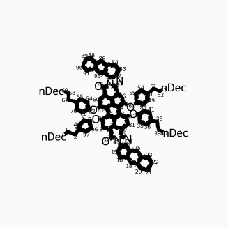 CCCCCCCCCCCCc1ccc(Oc2cc3c(=O)n4c5ccc6cc7ccccc7cc6c5nc4c4cc(Oc5ccc(CCCCCCCCCCCC)cc5)c5c6c(Oc7ccc(CCCCCCCCCCCC)cc7)cc7c8c(cc(Oc9ccc(CCCCCCCCCCCC)cc9)c(c2c5c34)c68)c(=O)n2c7nc3ccc4cc5ccccc5cc4c32)cc1